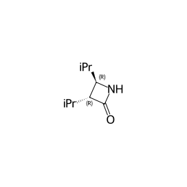 CC(C)[C@H]1NC(=O)[C@@H]1C(C)C